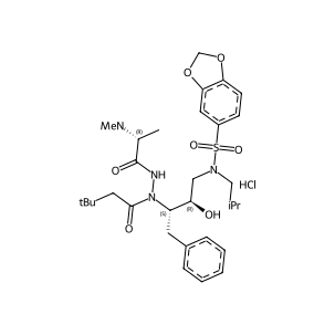 CN[C@H](C)C(=O)NN(C(=O)CC(C)(C)C)[C@@H](Cc1ccccc1)[C@H](O)CN(CC(C)C)S(=O)(=O)c1ccc2c(c1)OCO2.Cl